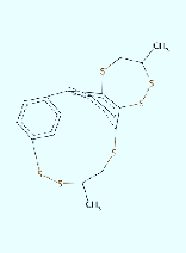 CC1CSc2ccc(c3c2SSC(C)CS3)-c2ccc(cc2)SS1